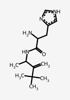 C=C(C(C)NC(=O)C(N)Cc1c[nH]cn1)C(C)(C)C